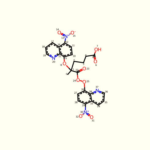 CC(CCCC(=O)O)(Oc1ccc([N+](=O)[O-])c2cccnc12)C(=O)OOc1ccc([N+](=O)[O-])c2cccnc12